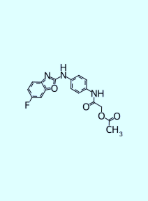 CC(=O)OCC(=O)Nc1ccc(Nc2nc3ccc(F)cc3o2)cc1